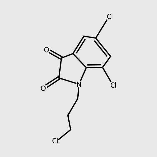 O=C1C(=O)N(CCCCl)c2c(Cl)cc(Cl)cc21